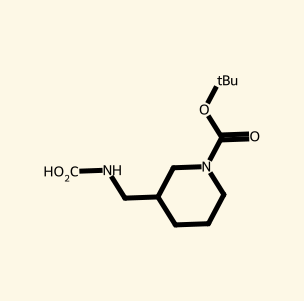 CC(C)(C)OC(=O)N1CCCC(CNC(=O)O)C1